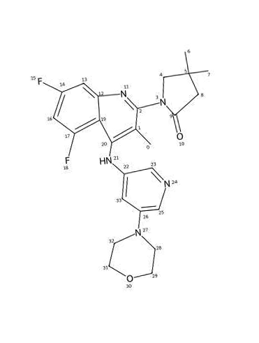 Cc1c(N2CC(C)(C)CC2=O)nc2cc(F)cc(F)c2c1Nc1cncc(N2CCOCC2)c1